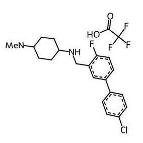 CNC1CCC(NCc2cc(-c3ccc(Cl)cc3)ccc2F)CC1.O=C(O)C(F)(F)F